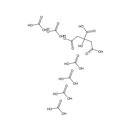 O=C(O)CC(O)(CC(=O)O)C(=O)O.O=C(O)O.O=C(O)O.O=C(O)O.O=C(O)O.O=C(O)O.O=C(O)O